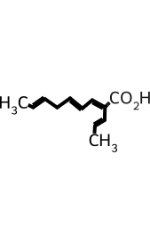 CC=CCC=CC=C(C=CC)C(=O)O